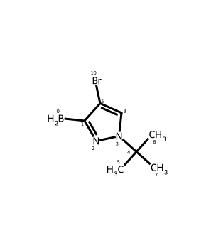 Bc1nn(C(C)(C)C)cc1Br